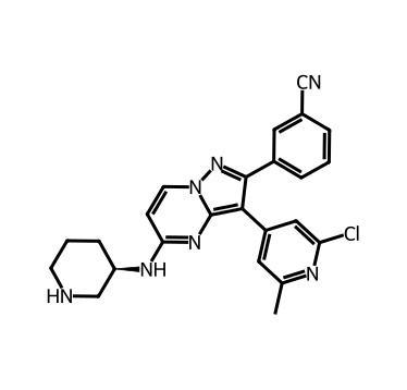 Cc1cc(-c2c(-c3cccc(C#N)c3)nn3ccc(N[C@@H]4CCCNC4)nc23)cc(Cl)n1